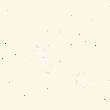 Cc1c(=O)n(Cc2ccccc2)c(=O)n2c(C(=O)OCc3ccncc3)csc12